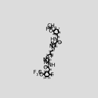 CC(F)(F)Oc1cccc(CNC(=O)c2cn(CCC(F)Cn3cc(NC(=O)Cc4cc(OC(F)(F)F)ccc4F)nn3)nn2)c1